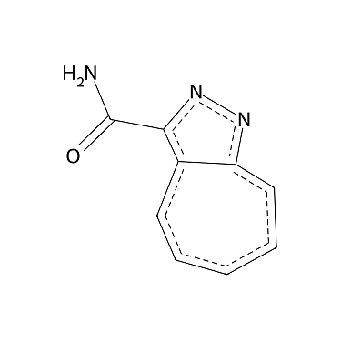 NC(=O)c1nnc2cccccc1-2